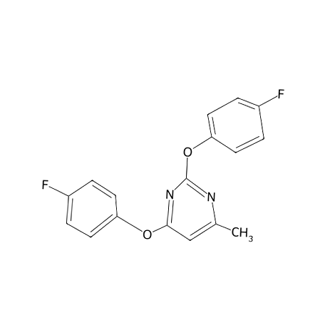 Cc1cc(Oc2ccc(F)cc2)nc(Oc2ccc(F)cc2)n1